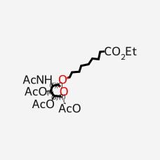 CCOC(=O)CCCCCCCCO[C@H]1O[C@H](COC(C)=O)[C@@H](OC(C)=O)[C@H](OC(C)=O)[C@@H]1NC(C)=O